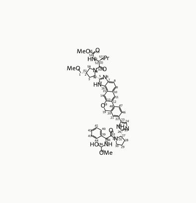 COC[C@H]1C[C@@H](c2nc3ccc4cc5c(cc4c3[nH]2)OCc2cc(-c3cnc([C@@H]4CCCN4C(=O)[C@H](NC(O)OC)c4ccccc4)[nH]3)ccc2-5)N(C(=O)[C@@H](NC(=O)OC)C(C)C)C1